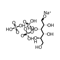 O=C[C@H](O)[C@@H](O)[C@H](O)[C@H](O)CO.O=P([O-])(O)OP(=O)(O)O.O=S(=O)(O)O.[Na+]